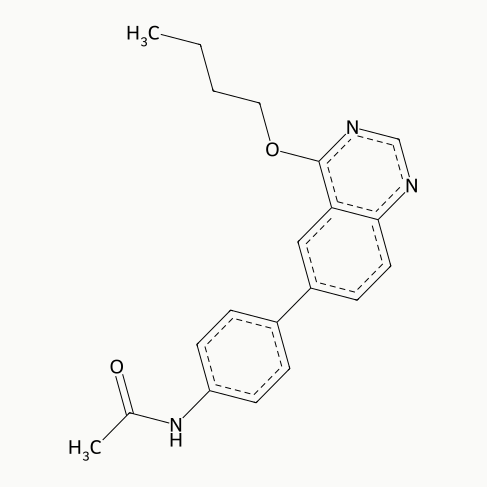 CCCCOc1ncnc2ccc(-c3ccc(NC(C)=O)cc3)cc12